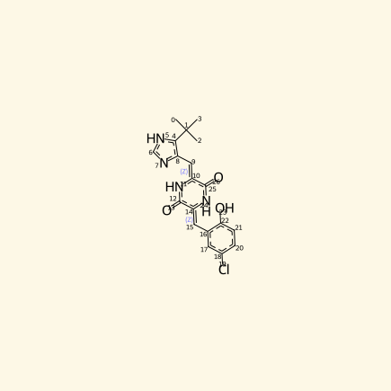 CC(C)(C)c1[nH]cnc1/C=c1\[nH]c(=O)/c(=C/c2cc(Cl)ccc2O)[nH]c1=O